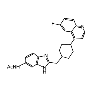 CC(=O)Nc1ccc2nc(CC3CCC(c4ccnc5ccc(F)cc45)CC3)[nH]c2c1